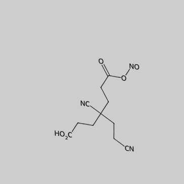 N#CCCC(C#N)(CCC(=O)O)CCC(=O)ON=O